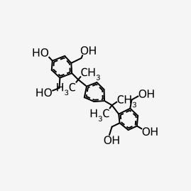 CC(C)(c1ccc(C(C)(C)c2c(CO)cc(O)cc2CO)cc1)c1c(CO)cc(O)cc1CO